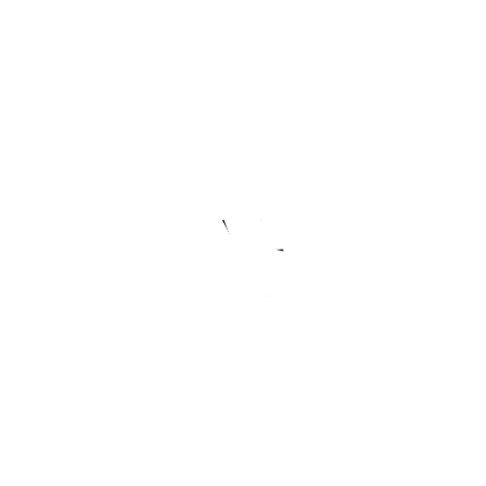 CCO[P@@](C)(=O)[C@H](c1ccccc1)c1ccccc1O